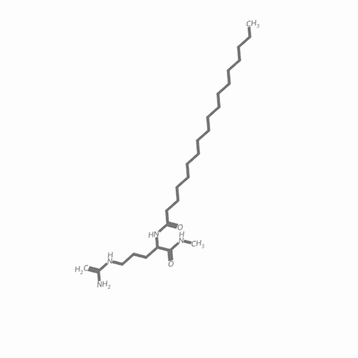 C=C(N)NCCCC(NC(=O)CCCCCCCCCCCCCCCCC)C(=O)NC